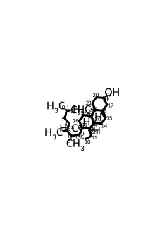 CC(C)CCC(C)[C@@H](C)[C@H]1CC[C@H]2[C@@H]3CC=C4C[C@@H](O)CC[C@]4(C)[C@H]3CC[C@]12C